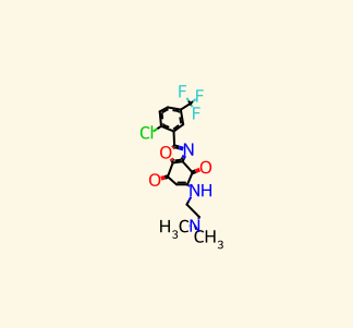 CN(C)CCNC1=CC(=O)c2oc(-c3cc(C(F)(F)F)ccc3Cl)nc2C1=O